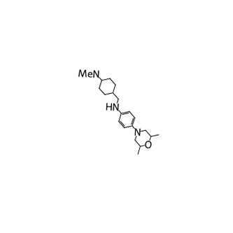 CNC1CCC(CNc2ccc(N3CC(C)OC(C)C3)cc2)CC1